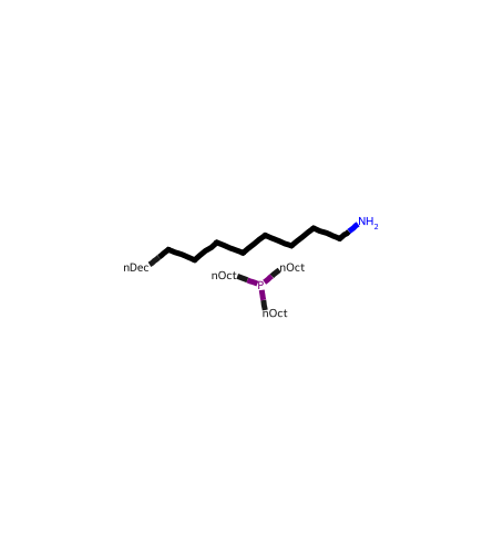 CCCCCCCCCCCCCCCCCCN.CCCCCCCCP(CCCCCCCC)CCCCCCCC